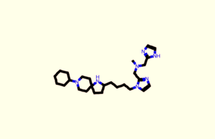 CN(Cc1ncc[nH]1)Cc1nccn1CCCCC1CCC2(CCN(C3CCCCC3)CC2)N1